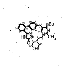 CCCCC1=NC(C)N(CCN2CCOCC2)C=C1Cc1ccc(-c2ccccc2-c2noc(=O)[nH]2)cc1